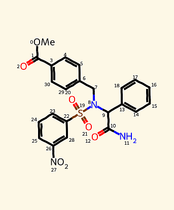 COC(=O)c1ccc(CN(C(C(N)=O)c2ccccc2)S(=O)(=O)c2cccc([N+](=O)[O-])c2)cc1